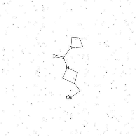 CC(C)(C)CC1CN(C(=O)N2CCC2)C1